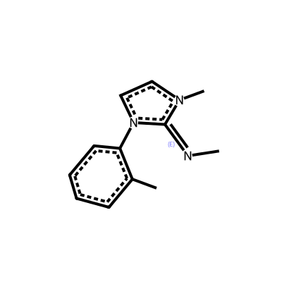 C/N=c1\n(C)ccn1-c1ccccc1C